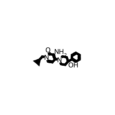 Nc1c(N2CCC(O)(c3ccccc3)CC2)ccn(CC2CC2)c1=O